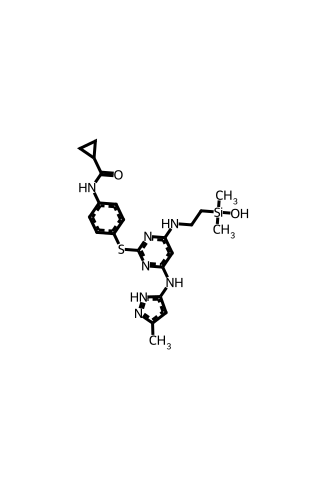 Cc1cc(Nc2cc(NCC[Si](C)(C)O)nc(Sc3ccc(NC(=O)C4CC4)cc3)n2)[nH]n1